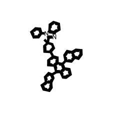 CC1(c2nc3ccccc3n2-c2ccccc2)C=CC(c2ccc3c(-c4ccc5ccccc5c4)c4ccccc4c(-c4ccc5ccccc5c4)c3c2)=CC1